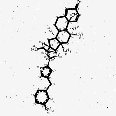 C[C@]12C=CC(=O)C=C1CCC1[C@@H]2[C@@H](O)C[C@@]2(C)[C@H]1C[C@H]1O[C@H](c3cc(Cc4cccc(N)c4)cs3)O[C@]12C(=O)CO